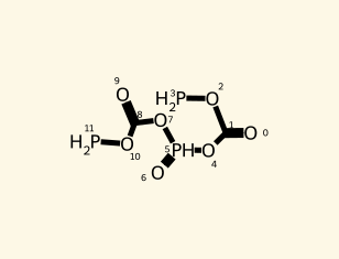 O=C(OP)O[PH](=O)OC(=O)OP